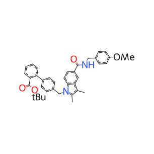 COc1ccc(CNC(=O)c2ccc3c(c2)c(C)c(C)n3Cc2ccc(-c3ccccc3C(=O)OC(C)(C)C)cc2)cc1